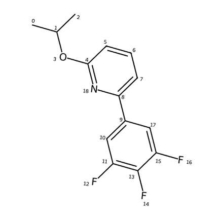 CC(C)Oc1cccc(-c2cc(F)c(F)c(F)c2)n1